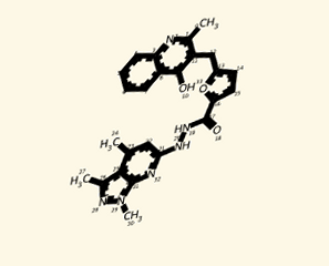 Cc1nc2ccccc2c(O)c1Cc1ccc(C(=O)NNc2cc(C)c3c(C)nn(C)c3n2)o1